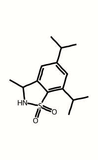 CC(C)c1cc(C(C)C)c2c(c1)C(C)NS2(=O)=O